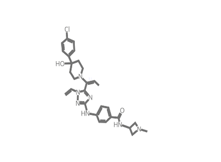 C=Cn1nc(Nc2ccc(C(=O)NC3CN(C)C3)cc2)nc1/C(=C\C)N1CCC(O)(c2ccc(Cl)cc2)CC1